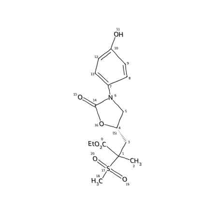 CCOC(=O)C(C)(C[C@H]1CN(c2ccc(O)cc2)C(=O)O1)S(C)(=O)=O